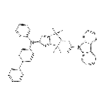 CC1(C)C2=CC(N(C3=CCC(c4ccccc4)C=C3)c3ccccc3)=C=C2C2(C)CC=C(n3c4ccccc4c4ccccc43)C=C12